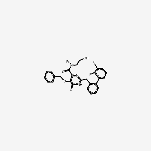 CC(C)N(CCO)C(=O)c1nc(Cc2ccccc2-c2cccc(F)c2F)[nH]c(=O)c1OCc1ccccc1